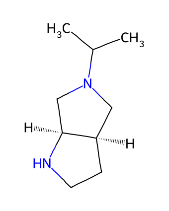 CC(C)N1C[C@H]2CCN[C@H]2C1